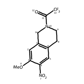 COc1cc2c(cc1[N+](=O)[O-])CCN(C(=O)C(F)(F)F)C2